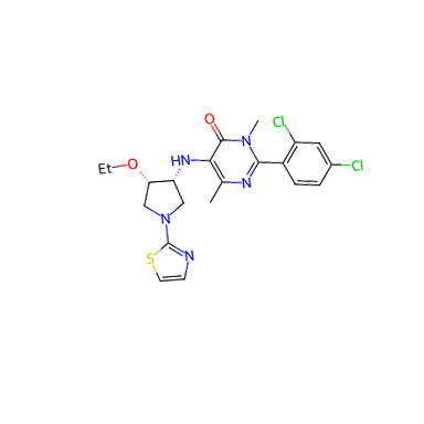 CCO[C@H]1CN(c2nccs2)C[C@H]1Nc1c(C)nc(-c2ccc(Cl)cc2Cl)n(C)c1=O